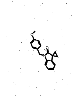 COc1ccc(CN2C(=O)C3(CC3)c3ccccc32)cc1